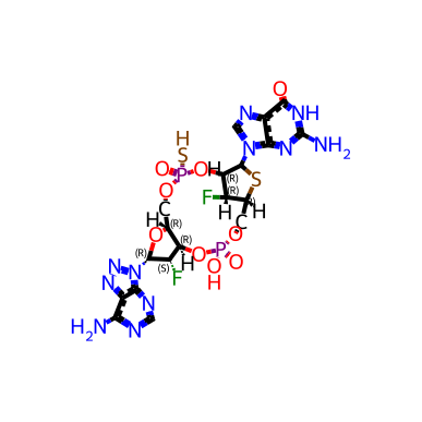 Nc1nc2c(ncn2C2S[C@@H]3COP(=O)(O)O[C@H]4[C@H](F)[C@H](n5nnc6c(N)ncnc65)O[C@@H]4COP(=O)(S)O[C@@H]2[C@H]3F)c(=O)[nH]1